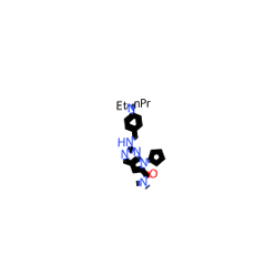 CCCN(CC)c1ccc(CNc2ncc3cc(C(=O)N(C)C)n(C4CCCC4)c3n2)cc1